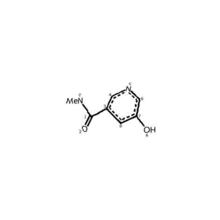 CNC(=O)c1cncc(O)c1